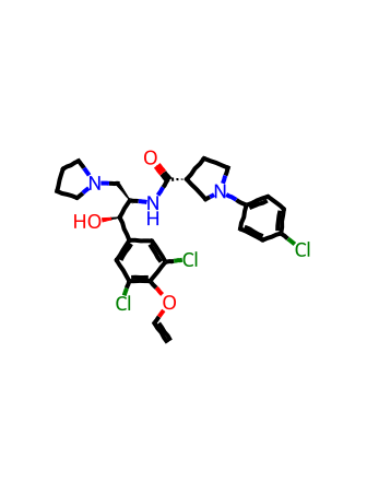 C=COc1c(Cl)cc([C@@H](O)[C@@H](CN2CCCC2)NC(=O)[C@@H]2CCN(c3ccc(Cl)cc3)C2)cc1Cl